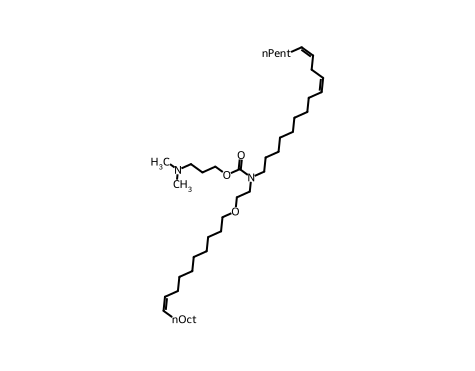 CCCCC/C=C\C/C=C\CCCCCCCCN(CCOCCCCCCCC/C=C\CCCCCCCC)C(=O)OCCCN(C)C